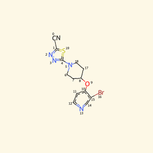 N#Cc1nnc(N2CCC(Oc3ccncc3Br)CC2)s1